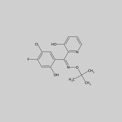 CC(C)(C)O/N=C(/c1cc(Cl)c(F)cc1O)c1ncccc1O